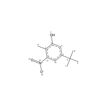 Cc1c(O)cc(C(C)(C)C)cc1[N+](=O)[O-]